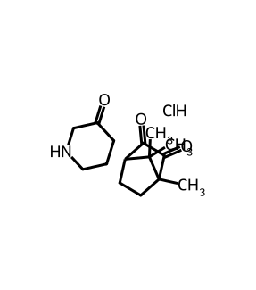 CC12CCC(C(=O)C1=O)C2(C)C.Cl.O=C1CCCNC1